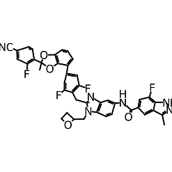 Cc1n[nH]c2c(F)cc(C(=O)Nc3ccc4c(c3)nc(Cc3c(F)cc(-c5cccc6c5OC(C)(c5ccc(C#N)cc5F)O6)cc3F)n4CC3CCO3)cc12